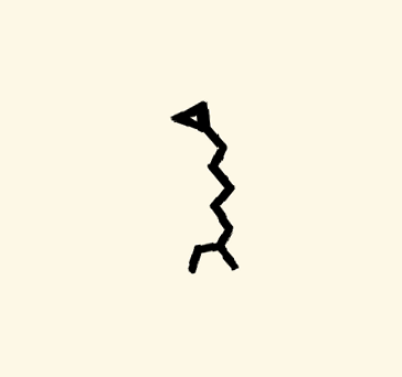 CCC(C)CCCCCC1=CC1